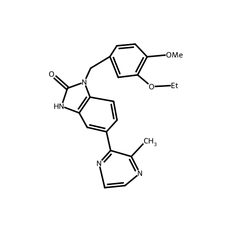 CCOc1cc(Cn2c(=O)[nH]c3cc(-c4nccnc4C)ccc32)ccc1OC